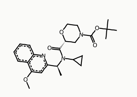 COc1cc([C@H](C)N(C(=O)[C@H]2CN(C(=O)OC(C)(C)C)CCO2)C2CC2)nc2ccccc12